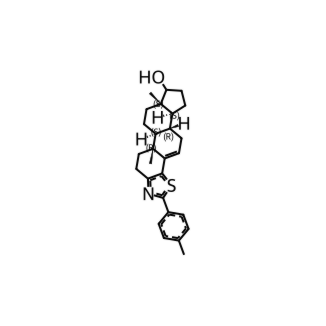 Cc1ccc(-c2nc3c(s2)C2=CC[C@@H]4[C@H](CC[C@]5(C)C(O)CC[C@@H]45)[C@@]2(C)CC3)cc1